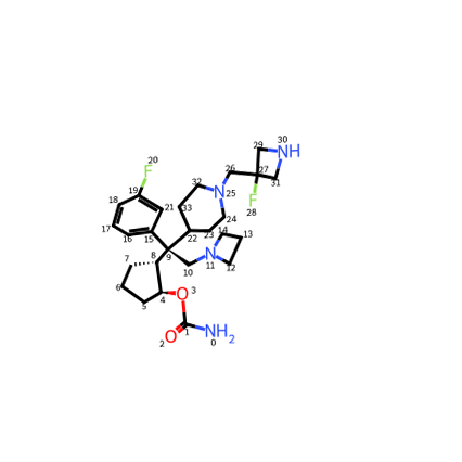 NC(=O)O[C@H]1CCC[C@@H]1[C@](CN1CCC1)(c1cccc(F)c1)C1CCN(CC2(F)CNC2)CC1